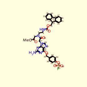 COC(=O)CN(CCNC(=O)OCC1c2ccccc2-c2ccccc21)C(=O)Cn1cnc2c(OCc3ccc(OS(=O)(=O)F)cc3)nc(N)nc21